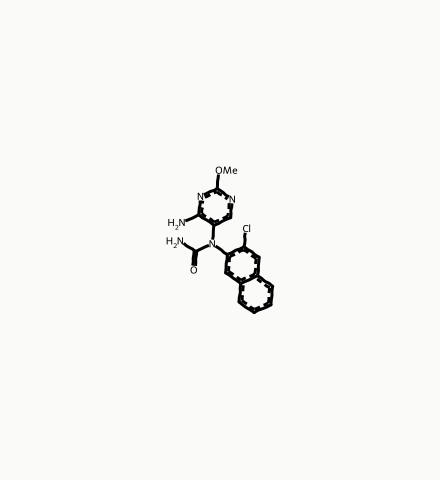 COc1ncc(N(C(N)=O)c2cc3ccccc3cc2Cl)c(N)n1